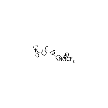 O=C(c1ccc(-c2csc(-c3ccnc(CS(=O)(=O)C(F)(F)F)c3)c2)c(Cl)c1)N1CCCCC1